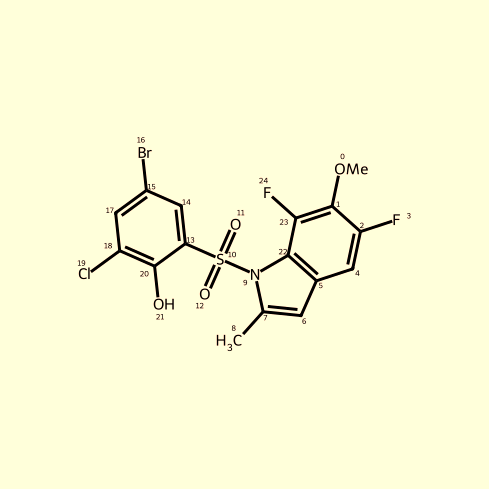 COc1c(F)cc2cc(C)n(S(=O)(=O)c3cc(Br)cc(Cl)c3O)c2c1F